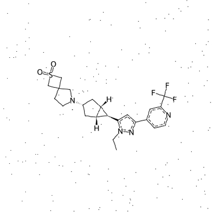 CCn1nc(-c2ccnc(C(F)(F)F)c2)cc1[C@H]1[C@@H]2C[C@H](N3CCC4(C3)CS(=O)(=O)C4)C[C@@H]21